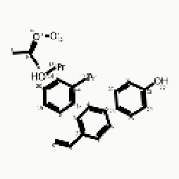 C=Cc1ccccc1.CC(C)=[O+][O-].CC(C)O.CC(C)c1ccccc1.Oc1ccccc1